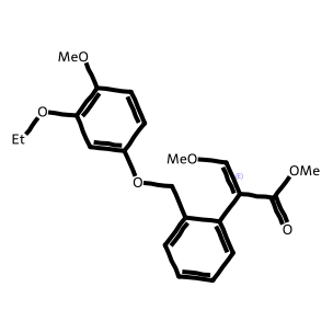 CCOc1cc(OCc2ccccc2/C(=C\OC)C(=O)OC)ccc1OC